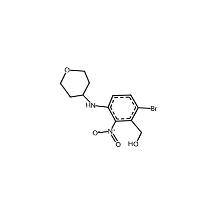 O=[N+]([O-])c1c(NC2CCOCC2)ccc(Br)c1CO